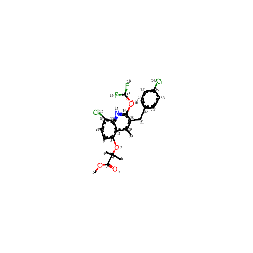 COC(=O)C(C)(C)Oc1ccc(Cl)c2nc(OC(F)F)c(Cc3ccc(Cl)cc3)c(C)c12